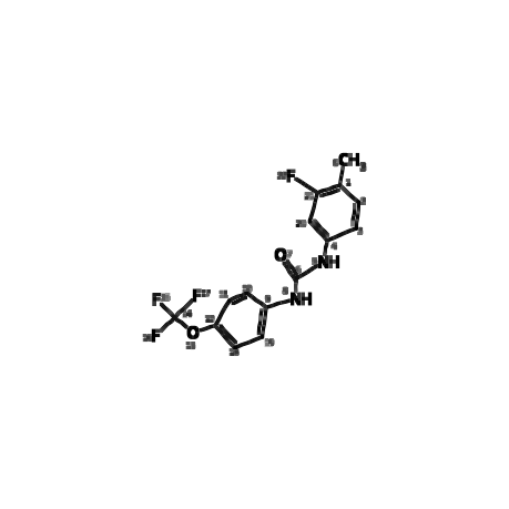 Cc1ccc(NC(=O)Nc2ccc(OC(F)(F)F)cc2)cc1F